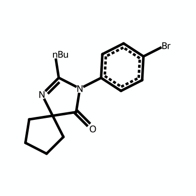 CCCCC1=NC2(CCCC2)C(=O)N1c1ccc(Br)cc1